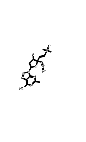 Cc1nc(O)c2nnn(C3CC(F)C(/C=C/P(C)(C)=O)(N=[N+]=[N-])O3)c2n1